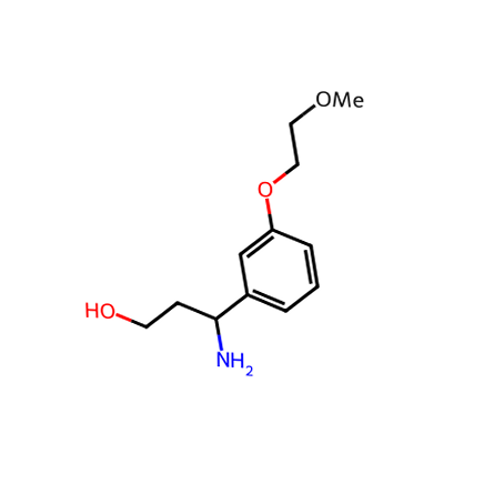 COCCOc1cccc(C(N)CCO)c1